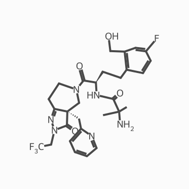 CC(C)(N)C(=O)N[C@H](CCc1ccc(F)cc1CO)C(=O)N1CCC2=NN(CC(F)(F)F)C(=O)[C@]2(Cc2ccccn2)C1